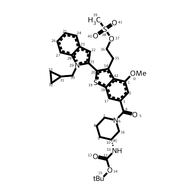 COc1cc(C(=O)N2CCC[C@@H](NC(=O)OC(C)(C)C)C2)cc2sc(-c3cc4ccccc4n3CC3CC3)c(CCOS(C)(=O)=O)c12